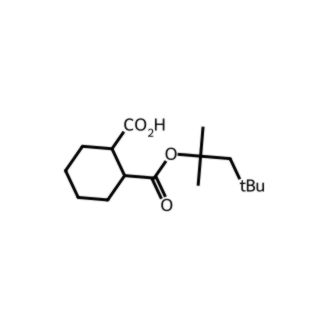 CC(C)(C)CC(C)(C)OC(=O)C1CCCCC1C(=O)O